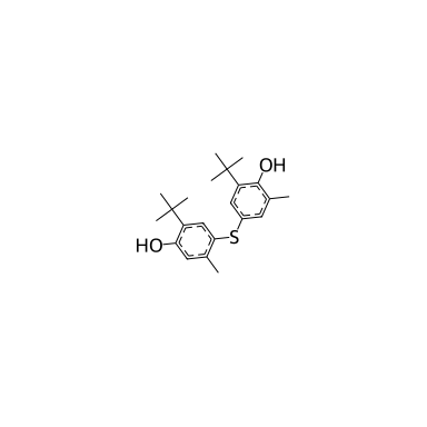 Cc1cc(O)c(C(C)(C)C)cc1Sc1cc(C)c(O)c(C(C)(C)C)c1